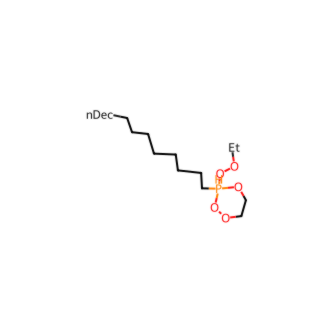 [CH2]COO[PH]1(CCCCCCCCCCCCCCCCCC)OCCOO1